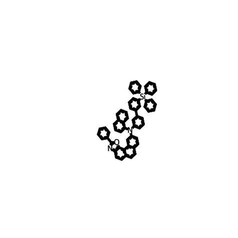 c1ccc(-c2nc3ccc4ccc5ccc(N(c6cccc(-c7cccc([Si](c8ccccc8)(c8ccccc8)c8ccccc8)c7)c6)c6cccc7ccccc67)cc5c4c3o2)cc1